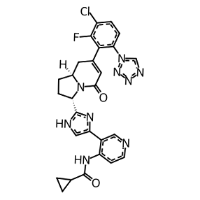 O=C(Nc1ccncc1-c1c[nH]c([C@@H]2CC[C@H]3CC(c4c(-n5cnnn5)ccc(Cl)c4F)=CC(=O)N32)n1)C1CC1